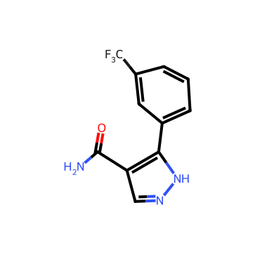 NC(=O)c1cn[nH]c1-c1cccc(C(F)(F)F)c1